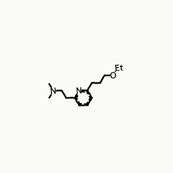 CCOCCCc1cccc(CCN(C)C)n1